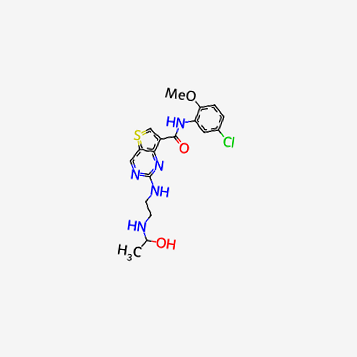 COc1ccc(Cl)cc1NC(=O)c1csc2cnc(NCCNC(C)O)nc12